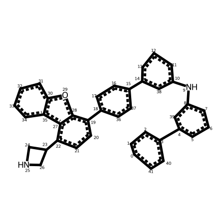 c1ccc(-c2cccc(Nc3cccc(-c4ccc(-c5ccc(C6CNC6)c6c5oc5ccccc56)cc4)c3)c2)cc1